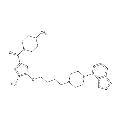 CC1CCN(C(=O)c2cc(OCCCCN3CCN(c4cccc5sccc45)CC3)n(C)n2)CC1